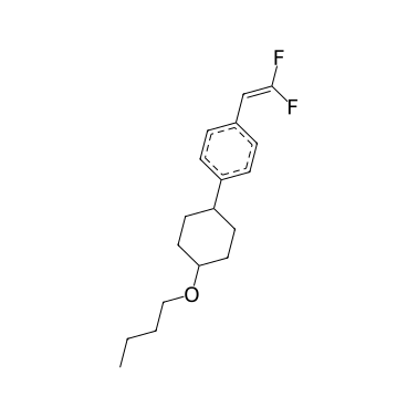 CCCCOC1CCC(c2ccc(C=C(F)F)cc2)CC1